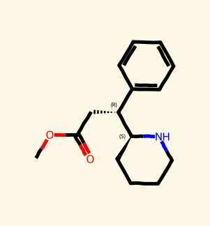 COC(=O)C[C@H](c1ccccc1)[C@@H]1CCCCN1